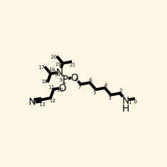 CNCCCCCCOP(OCCC#N)N(C(C)C)C(C)C